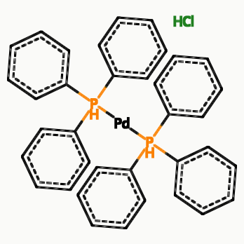 Cl.c1ccc([PH]([Pd][PH](c2ccccc2)(c2ccccc2)c2ccccc2)(c2ccccc2)c2ccccc2)cc1